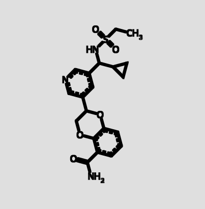 CCS(=O)(=O)NC(c1cncc(C2COc3c(cccc3C(N)=O)O2)c1)C1CC1